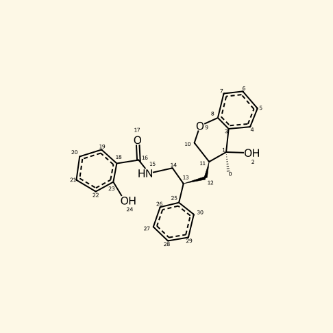 C[C@@]1(O)c2ccccc2OC[C@@H]1C[C@H](CNC(=O)c1ccccc1O)c1ccccc1